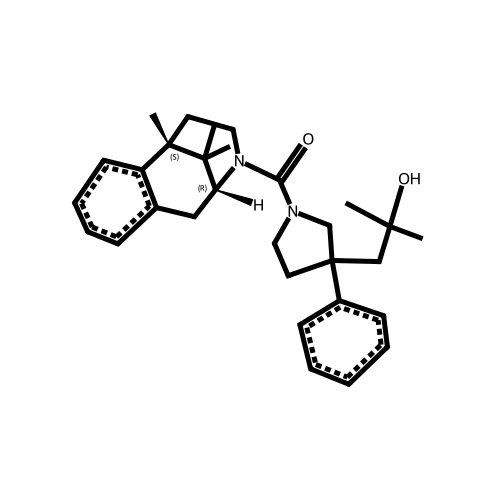 CC(C)(O)CC1(c2ccccc2)CCN(C(=O)N2CC[C@@]3(C)c4ccccc4C[C@@H]2C3(C)C)C1